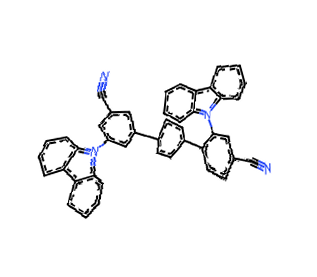 N#Cc1cc(-c2ccc(-c3ccc(C#N)cc3-n3c4ccccc4c4ccccc43)cc2)cc(-n2c3ccccc3c3ccccc32)c1